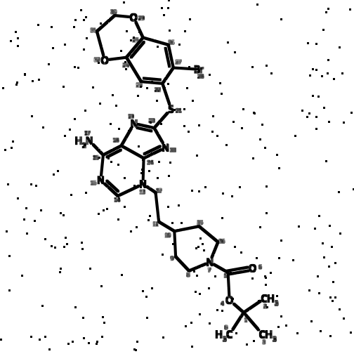 CC(C)(C)OC(=O)N1CCC(CCn2cnc(N)c3nc(Sc4cc5c(cc4Br)OCCO5)nc2-3)CC1